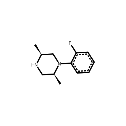 C[C@H]1CN(c2ccccc2F)[C@@H](C)CN1